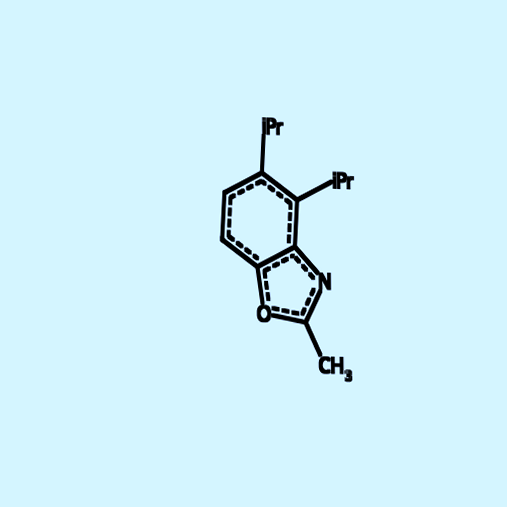 Cc1nc2c(C(C)C)c(C(C)C)ccc2o1